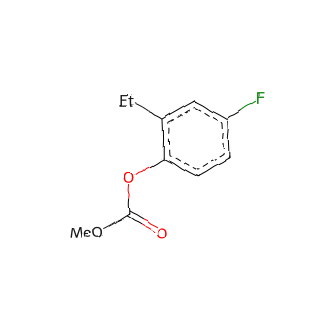 CCc1cc(F)ccc1OC(=O)OC